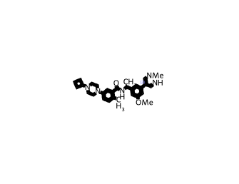 CN/C=C(\C=N)c1cc(OC)cc([C@@H](C)NC(=O)c2cc(N3CCN(C4CCC4)CC3)ccc2C)c1